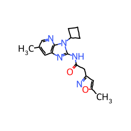 Cc1cnc2c(c1)nc(NC(=O)Cc1cc(C)on1)n2C1CCC1